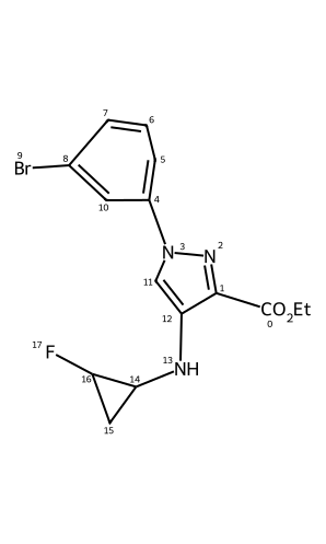 CCOC(=O)c1nn(-c2cccc(Br)c2)cc1NC1CC1F